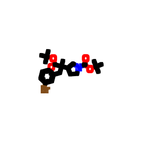 CC(C)(C)OC(=O)N1CCC(C(C)(Cc2cccc(Br)c2)C(=O)OC(C)(C)C)C1